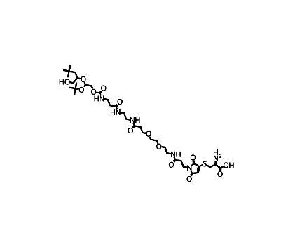 CC(C)(C)CC(CO)OC(COC(=O)NCCC(=O)NCCNC(=O)CCOCCOCCNC(=O)CCN1C(=O)C=C(SCC(N)C(=O)O)C1=O)OC(C)(C)C